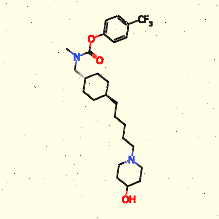 CN(C[C@H]1CC[C@H](CCCCCN2CCC(O)CC2)CC1)C(=O)Oc1ccc(C(F)(F)F)cc1